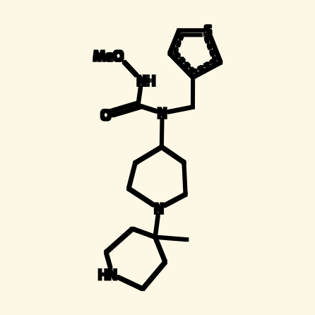 CONC(=O)N(Cc1ccsc1)C1CCN(C2(C)CCNCC2)CC1